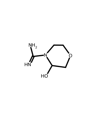 N=C(N)N1CCOCC1O